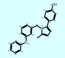 Cc1ccc(-c2ccc(O)cc2)n1Cc1cccc(Oc2ccccc2)c1